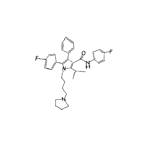 CC(C)c1c(C(=O)Nc2ccc(F)cc2)c(-c2ccccc2)c(-c2ccc(F)cc2)n1CCCCN1CCCC1